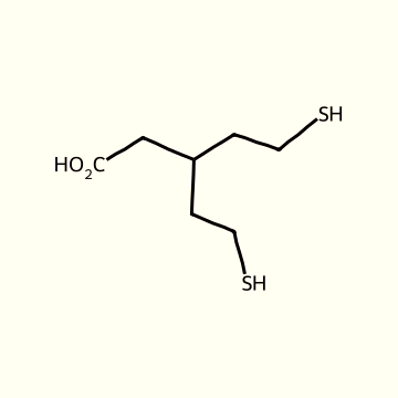 O=C(O)CC(CCS)CCS